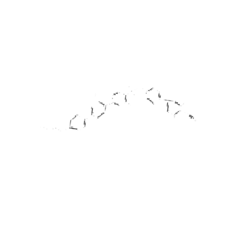 CCCCCc1ccc(-c2ccc(-c3cc(F)c(C(F)(F)Oc4ccc(-c5cc(F)c(C#N)c(F)c5)cc4)c(F)c3)c(F)c2)cc1